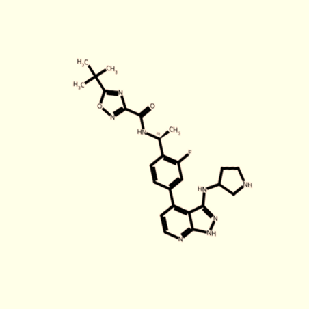 C[C@H](NC(=O)c1noc(C(C)(C)C)n1)c1ccc(-c2ccnc3[nH]nc(NC4CCNC4)c23)cc1F